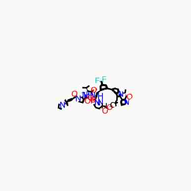 CCn1c(-c2cccnc2[C@H](C)OC)c2c3cc(ccc31)-c1cc(cc(C(F)F)c1)C[C@H](NC(=O)[C@H](C(C)C)N(C)C(=O)C1(O)CCN(C(=O)C#CC(C)(C)N3CCC3)C1)C(=O)N1CCC[C@H](N1)C(=O)OCC(C)(C)C2